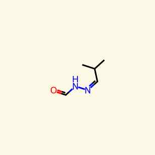 CC(C)/C=N\NC=O